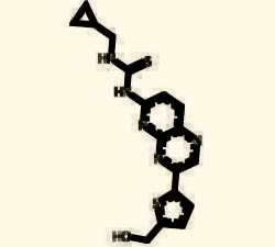 OCc1ccc(-c2cnc3ccc(NC(=S)NCC4CC4)nc3n2)s1